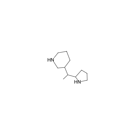 CC(C1CCCNC1)C1CCCN1